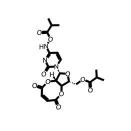 CC(C)C(=O)OC[C@H]1O[C@@H](n2ccc(NOC(=O)C(C)C)nc2=O)[C@H]2OC(=O)/C=C\C(=O)OC12